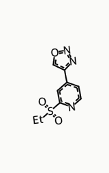 CCS(=O)(=O)c1cc(-c2conn2)ccn1